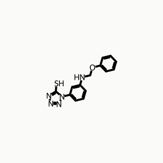 Sc1nnnn1-c1cccc(NCOc2ccccc2)c1